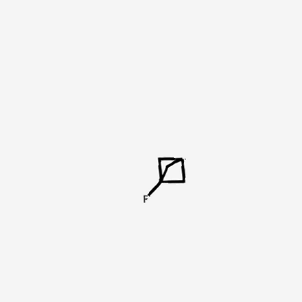 FC12C[C](C1)C2